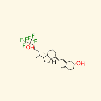 C=C1CC[C@H](O)C/C1=C/C=C1\CCC[C@]2(C)C(C(C)CCCC(O)(C(F)(F)F)C(F)(F)F)CC[C@@H]12